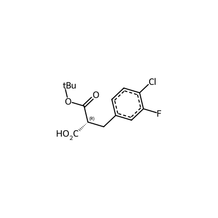 CC(C)(C)OC(=O)[C@H](Cc1ccc(Cl)c(F)c1)C(=O)O